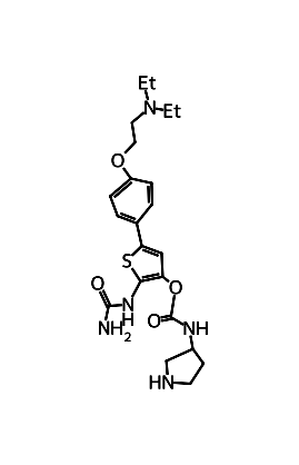 CCN(CC)CCOc1ccc(-c2cc(OC(=O)NC3CCNC3)c(NC(N)=O)s2)cc1